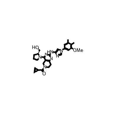 COc1cc(-n2cnc(Nc3nc4c(c(N5CCC[C@H]5CO)n3)CN(C(=O)C3CC3)CC4)c2)cc(C)c1C